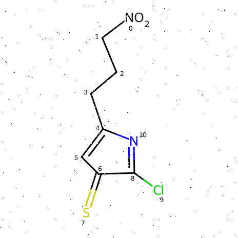 O=[N+]([O-])CCCC1=CC(=S)C(Cl)=N1